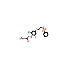 CNC(=O)COc1c(F)cc(SCCN(C)S(=O)(=O)c2ccccc2)cc1F